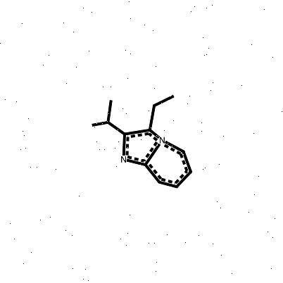 CCc1c(C(C)C)nc2ccccn12